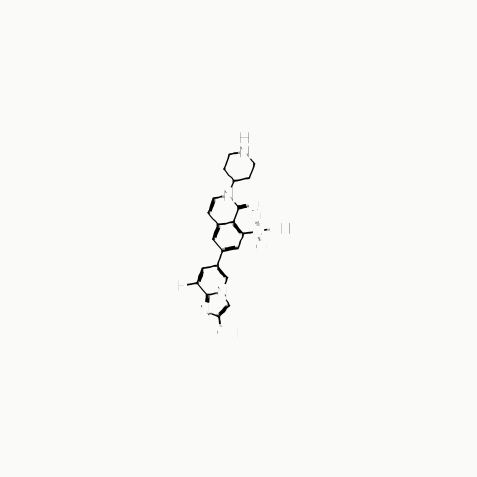 Cc1cn2cc(-c3cc(S(C)(=O)=O)c4c(=O)n(C5CCNCC5)ccc4c3)cc(F)c2n1